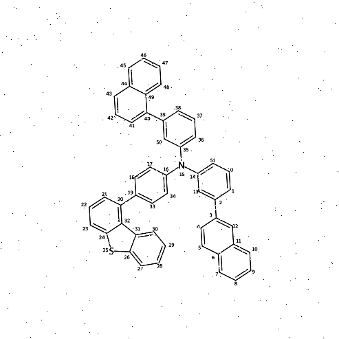 c1cc(-c2ccc3ccccc3c2)cc(N(c2ccc(-c3cccc4sc5ccccc5c34)cc2)c2cccc(-c3cccc4ccccc34)c2)c1